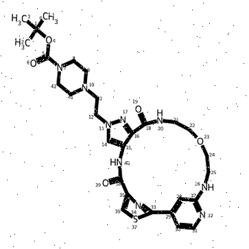 CC(C)(C)OC(=O)N1CCN(CCn2cc3c(n2)C(=O)NCCOCCNc2cc(ccn2)-c2nc(cs2)C(=O)N3)CC1